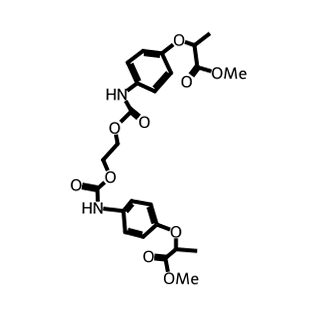 COC(=O)C(C)Oc1ccc(NC(=O)OCCOC(=O)Nc2ccc(OC(C)C(=O)OC)cc2)cc1